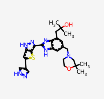 CC(C)(O)Cc1cc(CN2CCOC(C)(C)C2)cc2[nH]c(-c3n[nH]c4cc(-c5cn[nH]c5)sc34)nc12